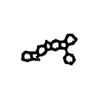 c1ccc(-n2c3ccccc3c3cc4sc5cc6c(cc5c4cc32)[nH]c2ccccc26)cc1